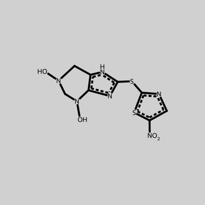 O=[N+]([O-])c1cnc(Sc2nc3c([nH]2)CN(O)CN3O)s1